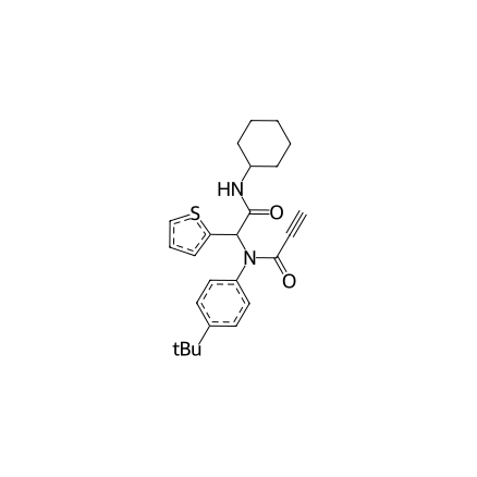 C#CC(=O)N(c1ccc(C(C)(C)C)cc1)C(C(=O)NC1CCCCC1)c1cccs1